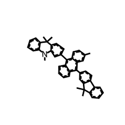 Cc1ccc2c(-c3ccc4c(c3)N(C)c3ccccc3C4(C)C)c3ccccc3c(-c3ccc4c(c3)C(C)(C)c3ccccc3-4)c2c1